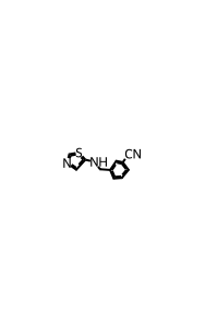 N#Cc1cccc(CNc2cncs2)c1